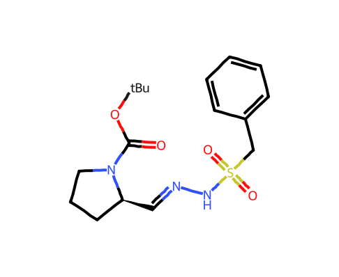 CC(C)(C)OC(=O)N1CCC[C@@H]1/C=N/NS(=O)(=O)Cc1ccccc1